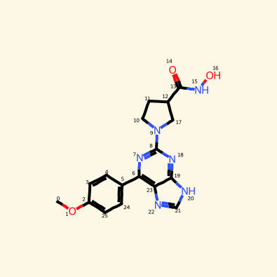 COc1ccc(-c2nc(N3CCC(C(=O)NO)C3)nc3[nH]cnc23)cc1